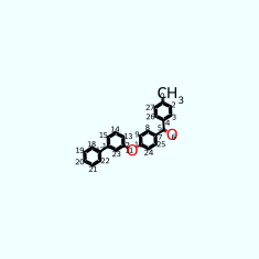 Cc1ccc(C(=O)c2ccc(Oc3cccc(-c4ccccc4)c3)cc2)cc1